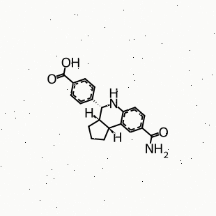 NC(=O)c1ccc2c(c1)[C@@H]1CCC[C@@H]1[C@H](c1ccc(C(=O)O)cc1)N2